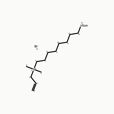 C=CC[N+](C)(C)CCCCCCCCCCCCCCCCC.[Br-]